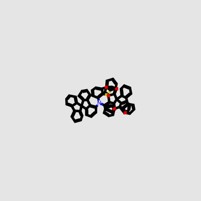 c1ccc(-c2ccccc2C2(c3ccccc3-c3ccccc3)c3ccccc3-c3c(N(c4cccc5c4-c4ccccc4C54c5ccccc5-c5ccccc54)c4cccc5c4sc4ccccc45)cccc32)cc1